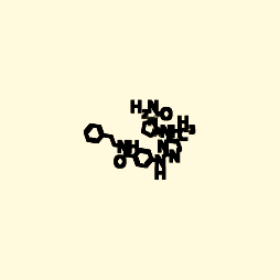 Cc1cnc(Nc2ccc(C(=O)NCCc3ccccc3)cc2)nc1N[C@@H]1CCC[C@@H]1C(N)=O